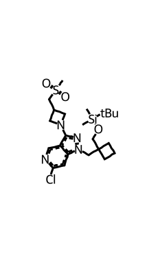 CC(C)(C)[Si](C)(C)OCC1(Cn2nc(N3CC(CS(C)(=O)=O)C3)c3cnc(Cl)cc32)CCC1